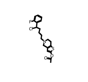 CC(=O)Oc1cc2c(s1)CCN(CCCCC(Cl)c1ccccc1F)C2